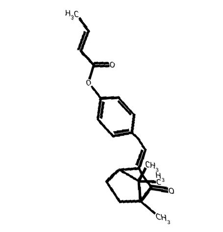 CC=CC(=O)Oc1ccc(C=C2C(=O)C3(C)CCC2C3(C)C)cc1